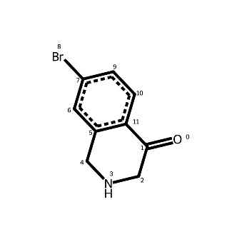 O=C1CNCc2cc(Br)ccc21